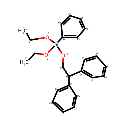 CCO[Si](OCC)(OCC(c1ccccc1)c1ccccc1)c1ccccc1